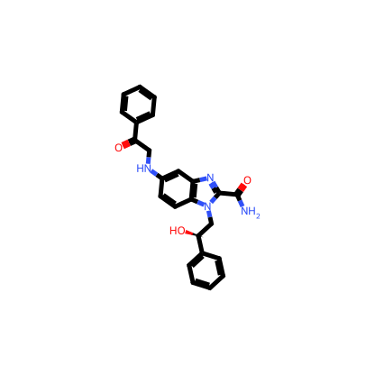 NC(=O)c1nc2cc(NCC(=O)c3ccccc3)ccc2n1C[C@H](O)c1ccccc1